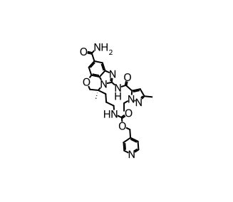 CCn1nc(C)cc1C(=O)Nc1nc2cc(C(N)=O)cc3c2n1[C@@](C)(CCCNC(=O)OCc1ccncc1)CO3